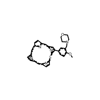 COc1ccc(-c2cc3cc4nc(cc5ccc(cc6nc(cc2[nH]3)C=C6)[nH]5)C=C4)cc1CN1CCOCC1